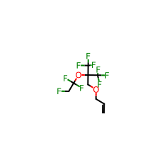 C=CCOCC(OC(F)(F)CF)(C(F)(F)F)C(F)(F)F